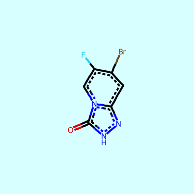 O=c1[nH]nc2cc(Br)c(F)cn12